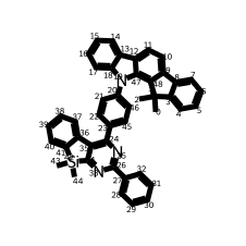 CC1(C)c2ccccc2-c2ccc3c4ccccc4n(-c4ccc(-c5nc(-c6ccccc6)nc6c5-c5ccccc5[Si]6(C)C)cc4)c3c21